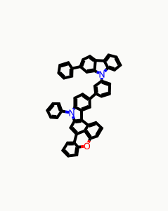 c1ccc(-c2ccc3c4ccccc4n(-c4cccc(-c5ccc6c(c5)c5c7cccc8c7c(cc5n6-c5ccccc5)-c5ccccc5O8)c4)c3c2)cc1